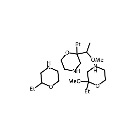 CCC1(C(C)OC)CNCCO1.CCC1(OC)CNCCO1.CCC1CNCCO1